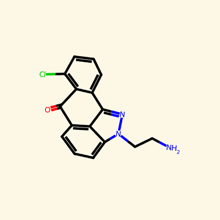 NCCn1nc2c3c(cccc31)C(=O)c1c(Cl)cccc1-2